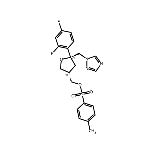 Cc1ccc(S(=O)(=O)OC[C@@H]2CO[C@](Cn3cncn3)(c3ccc(F)cc3F)C2)cc1